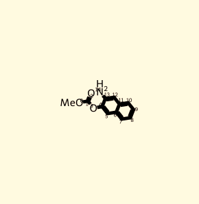 COC(=O)Oc1cc2ccccc2cc1N